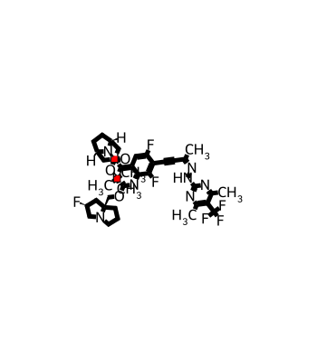 C/C(C#Cc1c(F)cc2c(N3C[C@H]4CC[C@@H](C3)N4C(=O)OC(C)(C)C)nc(OC[C@@]34CCCN3C[C@H](F)C4)nc2c1F)=N/Nc1nc(C)c(C(F)(F)F)c(C)n1